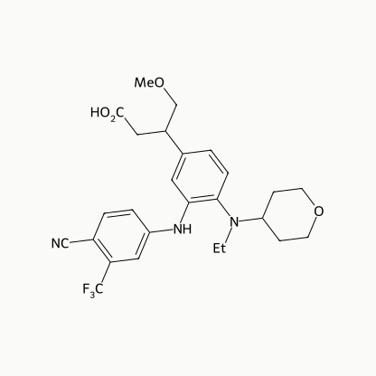 CCN(c1ccc(C(COC)CC(=O)O)cc1Nc1ccc(C#N)c(C(F)(F)F)c1)C1CCOCC1